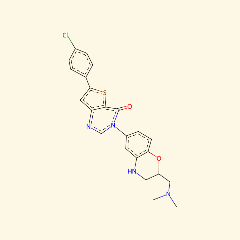 CN(C)CC1CNc2cc(-n3cnc4cc(-c5ccc(Cl)cc5)sc4c3=O)ccc2O1